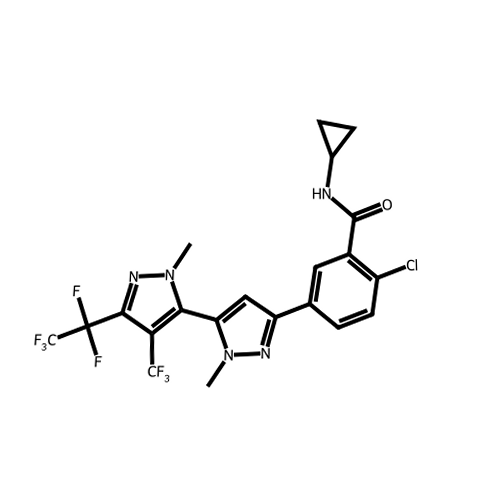 Cn1nc(-c2ccc(Cl)c(C(=O)NC3CC3)c2)cc1-c1c(C(F)(F)F)c(C(F)(F)C(F)(F)F)nn1C